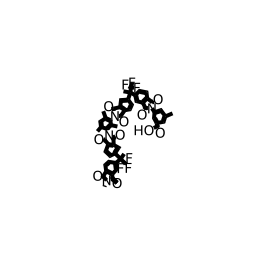 Cc1cc(C(=O)O)cc(N2C(=O)c3ccc(C(C)(c4ccc5c(c4)C(=O)N(c4c(C)cc(C)c(N6C(=O)c7ccc(C(C)(c8ccc9c(c8)C(=O)N(C)C9=O)C(F)(F)F)cc7C6=O)c4C)C5=O)C(F)(F)F)cc3C2=O)c1